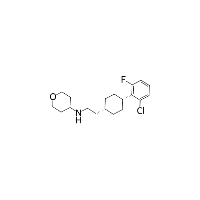 Fc1cccc(Cl)c1[C@H]1CC[C@@H](CCNC2CCOCC2)CC1